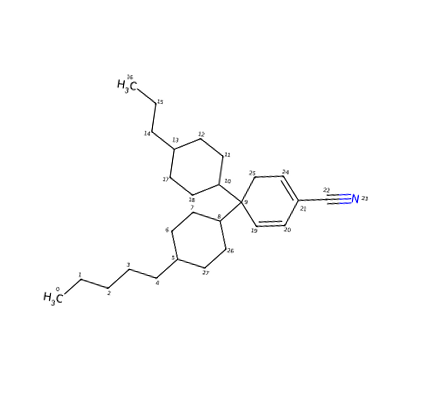 CCCCCC1CCC(C2(C3CCC(CCC)CC3)C=CC(C#N)=CC2)CC1